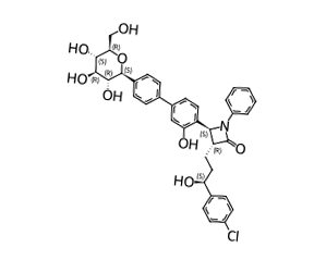 O=C1[C@H](CC[C@H](O)c2ccc(Cl)cc2)[C@@H](c2ccc(-c3ccc([C@@H]4O[C@H](CO)[C@@H](O)[C@H](O)[C@H]4O)cc3)cc2O)N1c1ccccc1